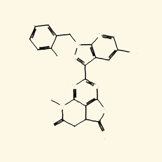 CN1C(=O)C[C@]2(C)C(=O)Nc3nc(-c4nn(Cc5ccccc5F)c5ncc(F)cc45)nc1c32